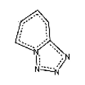 [c]1ccc2nnnn2c1